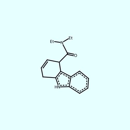 CCN(CC)C(=O)C1C=CCc2[nH]c3ccccc3c21